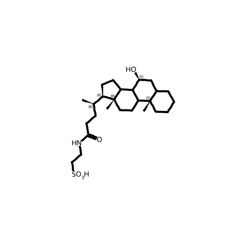 C[C@H](CCC(=O)NCCS(=O)(=O)O)[C@H]1CCC2C3C(CC[C@@]21C)[C@@]1(C)CCCCC1C[C@@H]3O